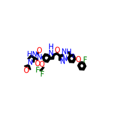 Cc1cc(Oc2ccccc2F)ccc1-n1ncc(C(=O)c2cc3cc(OCC(F)F)c(N4C(=O)NC5(CCN(C6COC6)C5)C4=O)cc3[nH]2)c1N